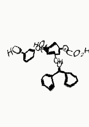 O=C(O)Oc1cc(O)cc(O)c1.O=C(c1ccccc1)c1ccccc1.Oc1cccc(O)c1